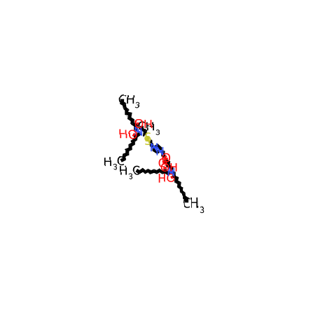 CCCCCCCCCCC(O)CN(CCCC(=O)OCCN1CCN(CCSSCCC(C)N(CC(O)CCCCCCCCCC)CC(O)CCCCCCCCCC)CC1)CC(O)CCCCCCCCCC